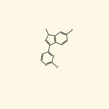 Cn1cc(-c2ccnc(Cl)n2)c2ccc(F)cc21